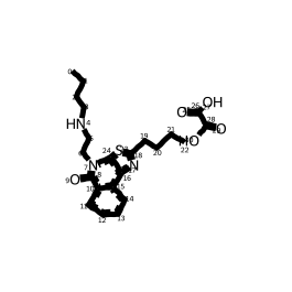 CCCCNCCn1c(=O)c2ccccc2c2nc(CCCC)sc21.O=C(O)C(=O)O